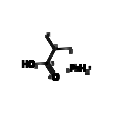 CC(C)C(=O)O.[PbH2]